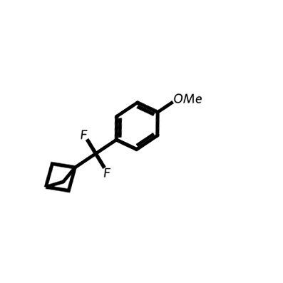 COc1ccc(C(F)(F)C23CC(C2)C3)cc1